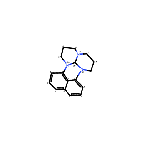 c1cc2c3c(cccc3c1)N1CCCN3CCCN2C31